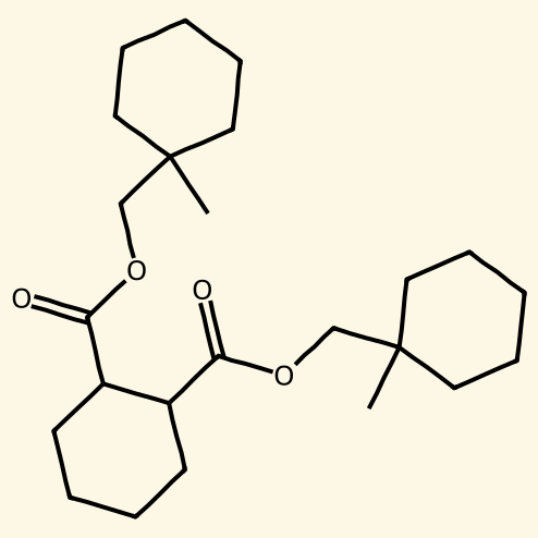 CC1(COC(=O)C2CCCCC2C(=O)OCC2(C)CCCCC2)CCCCC1